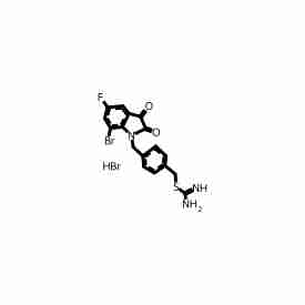 Br.N=C(N)SCc1ccc(CN2C(=O)C(=O)c3cc(F)cc(Br)c32)cc1